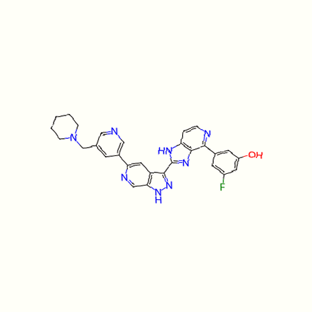 Oc1cc(F)cc(-c2nccc3[nH]c(-c4n[nH]c5cnc(-c6cncc(CN7CCCCC7)c6)cc45)nc23)c1